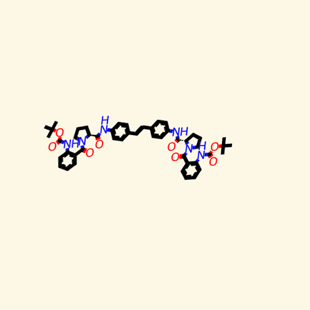 CC(C)(C)OC(=O)Nc1ccccc1C(=O)N1CCC[C@H]1C(=O)Nc1ccc(/C=C/c2ccc(NC(=O)[C@@H]3CCCN3C(=O)c3ccccc3NC(=O)OC(C)(C)C)cc2)cc1